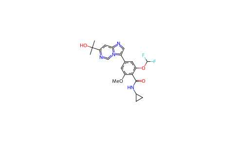 COc1cc(-c2cnc3cc(C(C)(C)O)ncn23)cc(OC(F)F)c1C(=O)NC1CC1